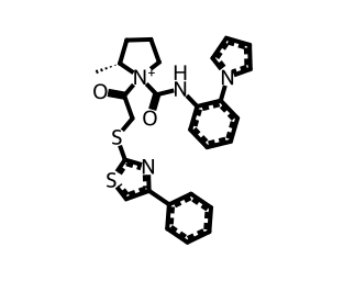 C[C@@H]1CCC[N+]1(C(=O)CSc1nc(-c2ccccc2)cs1)C(=O)Nc1ccccc1-n1cccc1